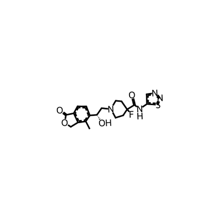 Cc1c([C@@H](O)CN2CCC(F)(C(=O)Nc3cnns3)CC2)ccc2c1COC2=O